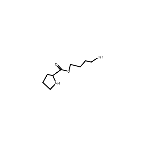 O=C(OCCCCO)C1CCCN1